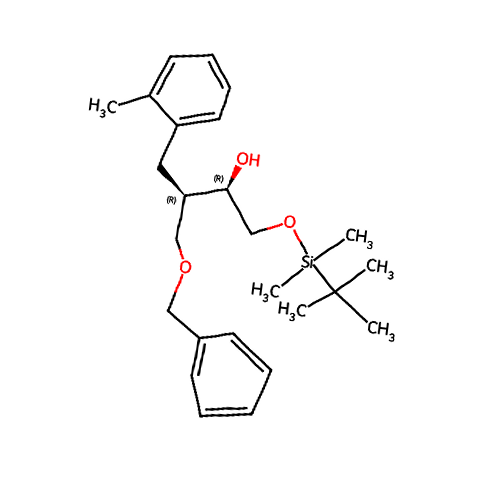 Cc1ccccc1C[C@H](COCc1ccccc1)[C@@H](O)CO[Si](C)(C)C(C)(C)C